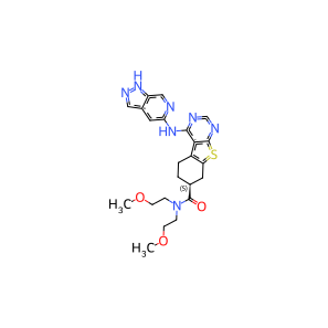 COCCN(CCOC)C(=O)[C@H]1CCc2c(sc3ncnc(Nc4cc5cn[nH]c5cn4)c23)C1